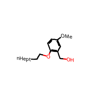 CCCCCCCCCOc1ccc(OC)cc1CO